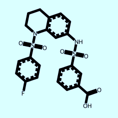 O=C(O)c1cccc(S(=O)(=O)Nc2ccc3c(c2)N(S(=O)(=O)c2ccc(F)cc2)CCC3)c1